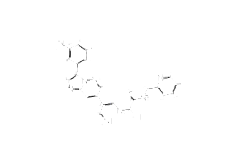 CC(N/C=C(\C=N)c1cnn2c(-c3cccc(N)c3)cnc2c1)C(=O)NCc1ccccn1